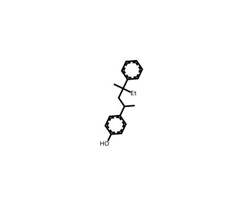 CCC(C)(CC(C)c1ccc(O)cc1)c1ccccc1